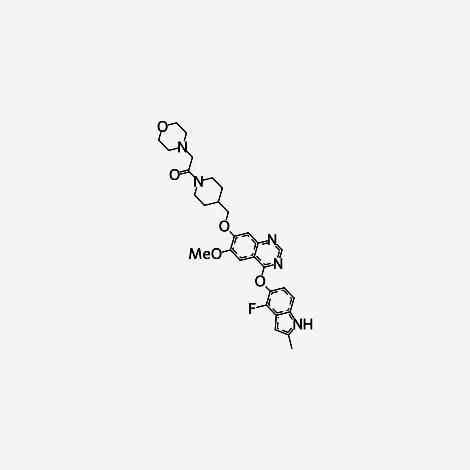 COc1cc2c(Oc3ccc4[nH]c(C)cc4c3F)ncnc2cc1OCC1CCN(C(=O)CN2CCOCC2)CC1